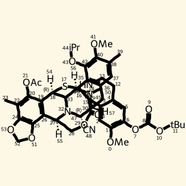 COc1cc2c(cc1OC(=O)OC(C)(C)C)CCN[C@]21CS[C@@H]2c3c(OC(C)=O)c(C)c4c(c3[C@H](COC1=O)N1C2[C@H]2c3c(cc(C)c(OC)c3OC(C)C)C[C@H]([C@@H]1C#N)N2C)OCO4